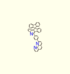 c1ccc2c(c1)-c1ccccc1C21c2ccccc2-c2c(-c3ccc(-c4ccc5ccc6cccnc6c5n4)cc3)nc3ccccc3c21